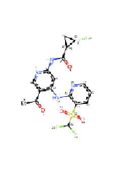 CCC(=O)c1cnc(NC(=O)[C@H]2C[C@@H]2F)cc1Nc1ncccc1S(=O)(=O)C(F)F